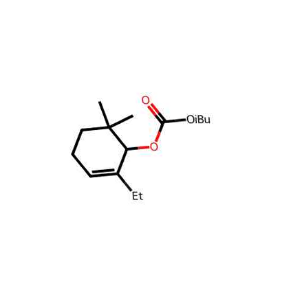 CCC1=CCCC(C)(C)C1OC(=O)OCC(C)C